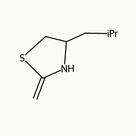 C=C1NC(CC(C)C)CS1